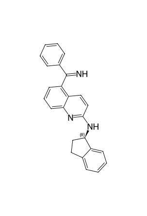 N=C(c1ccccc1)c1cccc2nc(N[C@@H]3CCc4ccccc43)ccc12